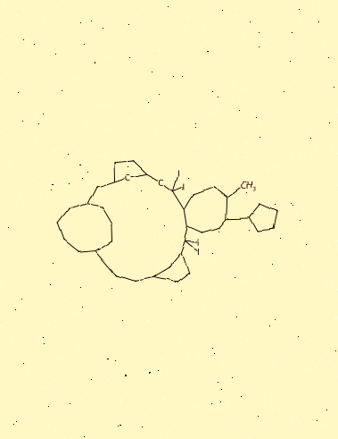 CC1CCC2C(CCC1C1CCCC1)C(I)(I)C1CCC(CCC3CCCCC(CCC3)CC3CCC(C3)CC2(I)I)C1